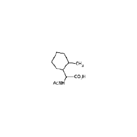 CC(=O)NC(C(=O)O)C1CCCCC1C